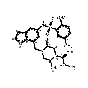 COc1ccc(C)cc1S(=O)(=O)Nc1cc(CN2CC(C)N(C(=O)OC(C)(C)C)CC2C)c2occc2c1